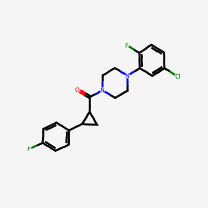 O=C(C1CC1c1ccc(F)cc1)N1CCN(c2cc(Cl)ccc2F)CC1